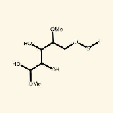 COC(O)C(O)C(O)C(COSI)OC